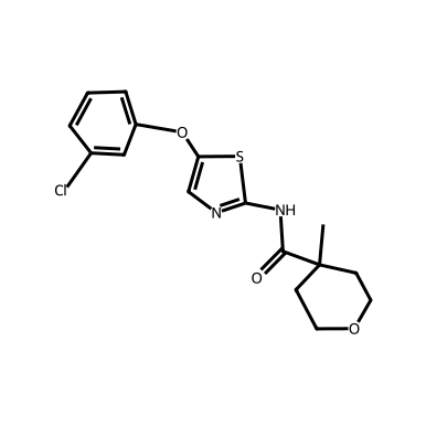 CC1(C(=O)Nc2ncc(Oc3cccc(Cl)c3)s2)CCOCC1